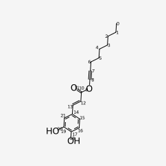 CCCCCCCC#COC(=O)C=Cc1ccc(O)c(O)c1